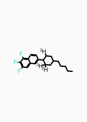 [2H]C1CC(CCCCC)CC([2H])([2H])C1c1ccc2c(F)c(F)c(F)cc2c1